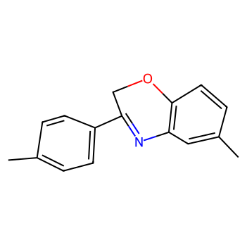 Cc1ccc(C2=Nc3cc(C)ccc3OC2)cc1